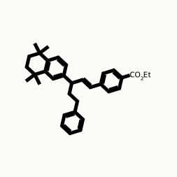 CCOC(=O)c1ccc(/C=C/C(CCc2ccccc2)c2ccc3c(c2)C(C)(C)CCC3(C)C)cc1